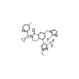 CCn1cc(-c2cc(Cn3ccnc3C)cc3c2CCN([C@H](c2cc(C)ccn2)C2CC2)C3=O)c(C(F)(F)F)n1